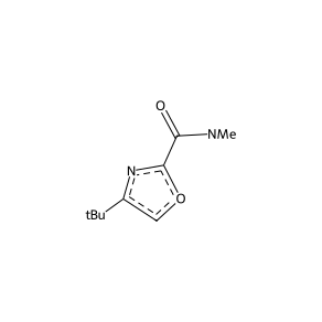 CNC(=O)c1nc(C(C)(C)C)co1